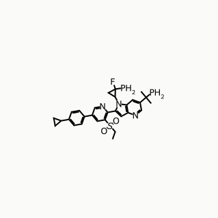 CCS(=O)(=O)c1cc(-c2ccc(C3CC3)cc2)cnc1-c1cc2ncc(C(C)(C)P)cc2n1C1CC1(F)P